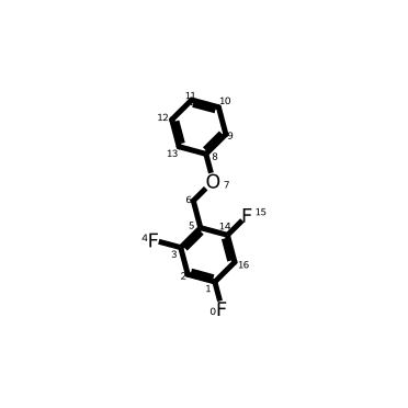 Fc1cc(F)c(COc2cc[c]cc2)c(F)c1